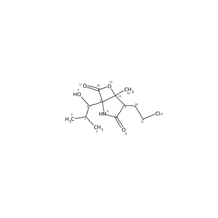 CC(C)C(O)C12NC(=O)C(CCCl)C1(C)OC2=O